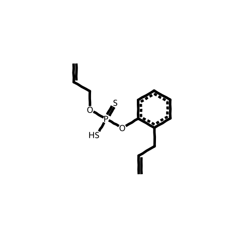 C=CCOP(=S)(S)Oc1ccccc1CC=C